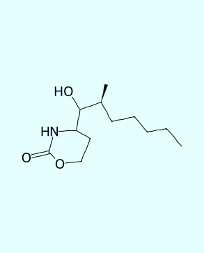 CCCCC[C@H](C)C(O)C1CCOC(=O)N1